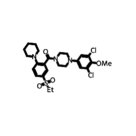 CCS(=O)(=O)c1ccc(N2CCCCC2)c(C(=O)N2CCN(c3cc(Cl)c(OC)c(Cl)c3)CC2)c1